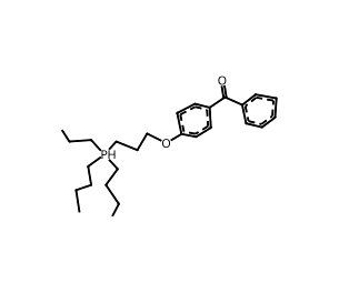 CCCC[PH](CCC)(CCCC)CCCOc1ccc(C(=O)c2ccccc2)cc1